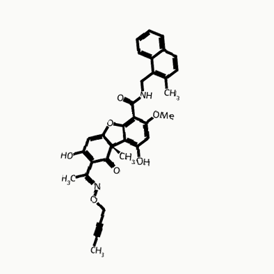 CC#CCON=C(C)C1=C(O)C=C2Oc3c(C(=O)NCc4c(C)ccc5ccccc45)c(OC)cc(O)c3[C@]2(C)C1=O